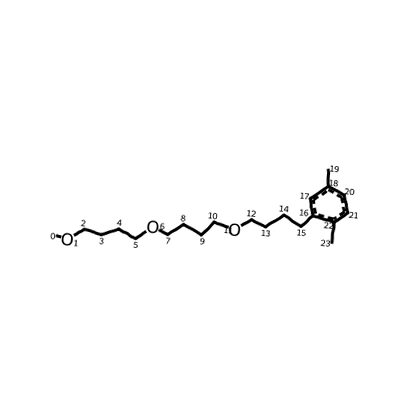 COCCCCOCCCCOCCCCc1cc(C)ccc1C